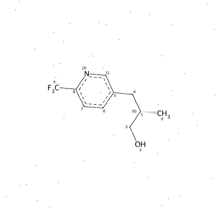 C[C@H](CO)Cc1ccc(C(F)(F)F)nc1